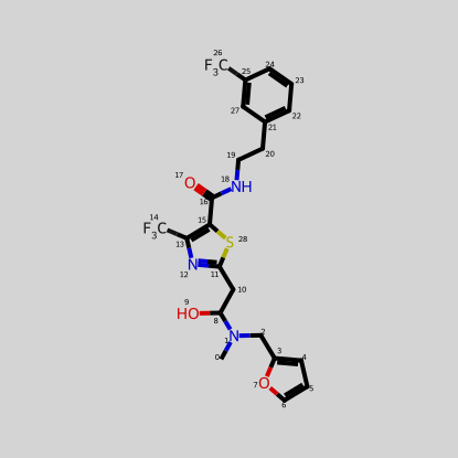 CN(Cc1ccco1)C(O)Cc1nc(C(F)(F)F)c(C(=O)NCCc2cccc(C(F)(F)F)c2)s1